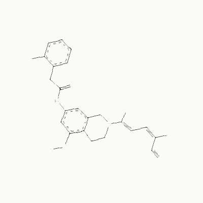 C=C/C(C)=C\C=C(/C)N1CCc2c(cc(NC(=O)Cc3ccccc3Cl)cc2SN)C1